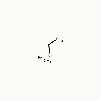 C.CCC.[Fe]